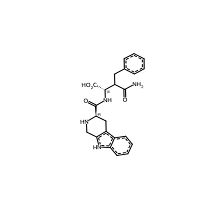 NC(=O)C(Cc1ccccc1)[C@H](NC(=O)[C@H]1Cc2c([nH]c3ccccc23)CN1)C(=O)O